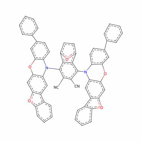 N#Cc1c(C#N)c(N2c3ccc(-c4ccccc4)cc3Oc3cc4oc5ccccc5c4cc32)c2c3ccc(o3)c2c1N1c2ccc(-c3ccccc3)cc2Oc2cc3oc4ccccc4c3cc21